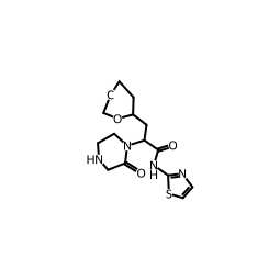 O=C(Nc1nccs1)C(CC1CCCCO1)N1CCNCC1=O